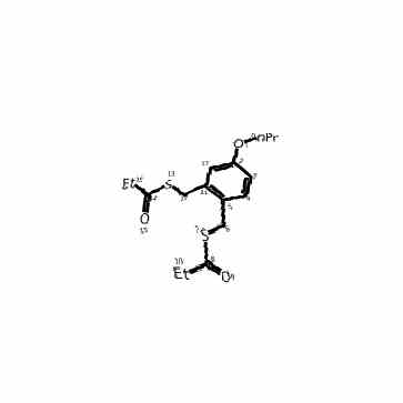 CCCOc1ccc(CSC(=O)CC)c(CSC(=O)CC)c1